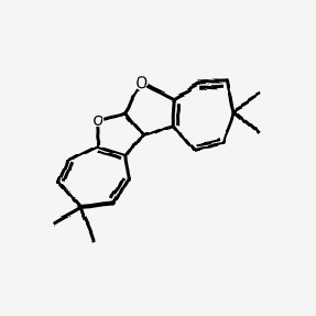 CC1(C)C=CC2=C(C=C1)C1C3=C(C=CC(C)(C)C=C3)OC1O2